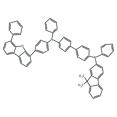 CC1(C)c2ccccc2-c2ccc(N(c3ccccc3)c3ccc(-c4ccc(N(c5ccccc5)c5ccc(-c6cccc7c6oc6c(-c8ccccc8)cccc67)cc5)cc4)cc3)cc21